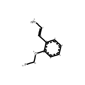 CCC/C=C/c1ccccc1OCF